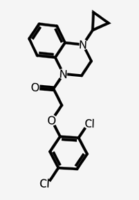 O=C(COc1cc(Cl)ccc1Cl)N1CCN(C2CC2)c2ccccc21